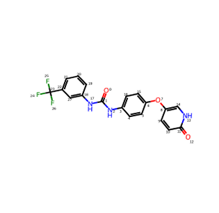 O=C(Nc1ccc(Oc2ccc(=O)[nH]c2)cc1)Nc1cccc(C(F)(F)F)c1